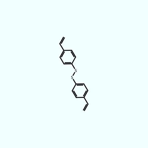 C=Cc1ccc(SSc2ccc(C=C)cc2)cc1